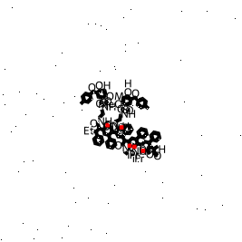 CCC(c1ccccc1)C(C(=O)NCCCNS(=O)(=O)c1cc(C(=O)c2ccc(C)cc2)c(O)cc1OC)C(CC(c1ccccc1)C1C(=O)N(CCCNS(=O)(=O)c2cc(C(=O)c3ccc(C)cc3)c(O)cc2OC)C(=O)C1CC(c1ccccc1)C1C(=O)N(CC(C)C)C(=O)C1CC(c1ccccc1)C(C(=O)NCC(C)C)C(CC(c1ccccc1)C1C(=O)OC(=O)C1C)C(=O)O)C(=O)O